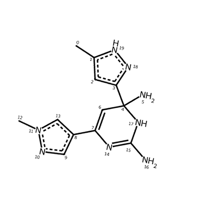 Cc1cc(C2(N)C=C(c3cnn(C)c3)N=C(N)N2)n[nH]1